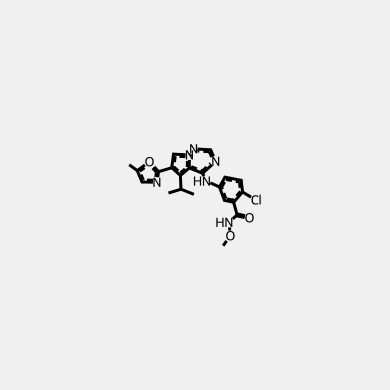 CONC(=O)c1cc(Nc2ncnn3cc(-c4ncc(C)o4)c(C(C)C)c23)ccc1Cl